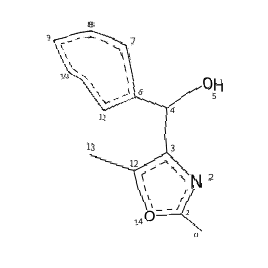 Cc1nc(C(O)c2ccccc2)c(C)o1